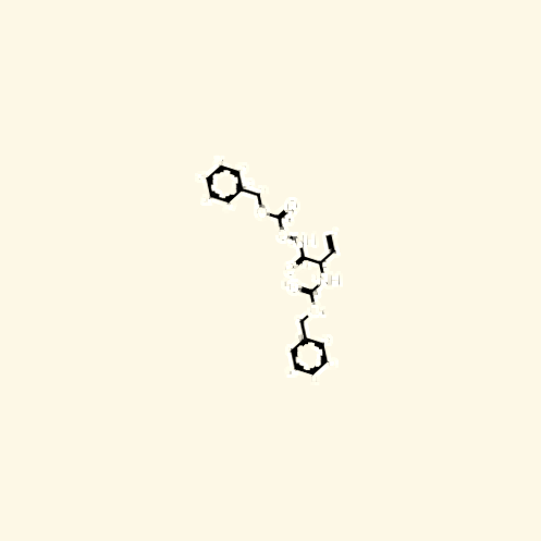 C=CC(NC(=O)OCc1ccccc1)C(=O)NOC(=O)OCc1ccccc1